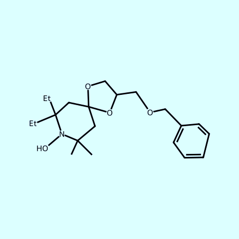 CCC1(CC)CC2(CC(C)(C)N1O)OCC(COCc1ccccc1)O2